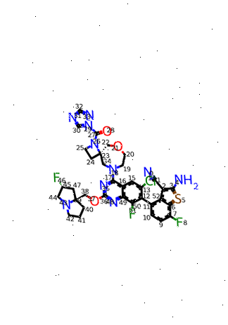 N#Cc1c(N)sc2c(F)ccc(-c3c(Cl)cc4c(N5CCOC[C@@]6(CCN6C(=O)n6cncn6)C5)nc(OC[C@@]56CCCN5C[C@H](F)C6)nc4c3F)c12